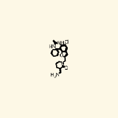 C=C1Nc2c(Cl)cc3cc(CN4CCCC(CN)C4=O)oc3c2C2(CCCCC2)N1